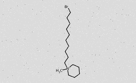 C[N+]1(CCCCCCCCCCBr)CCCCC1